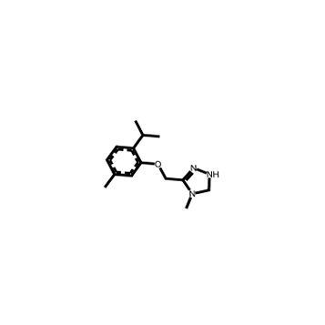 Cc1ccc(C(C)C)c(OCC2=NNCN2C)c1